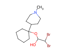 CN1CCC(C2(OC(O)C(Br)Br)CCCCC2)CC1